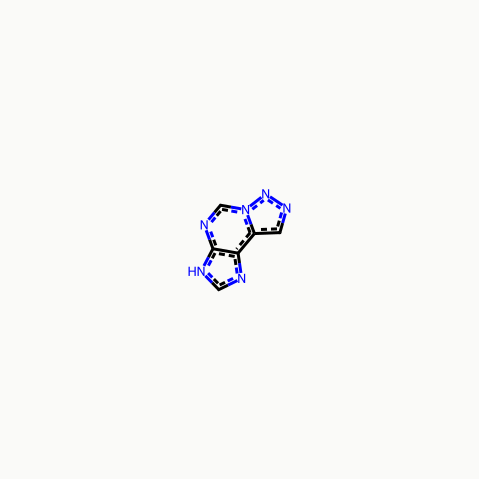 c1nc2c(ncn3nncc23)[nH]1